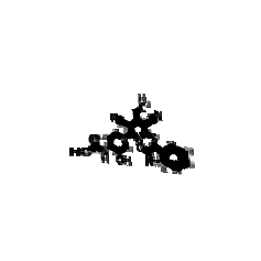 CCc1c(C#N)c(SC(C(N)=O)c2ccccc2)nc(N2CC[C@@H](NC(=O)O)[C@@H](O)C2)c1C#N